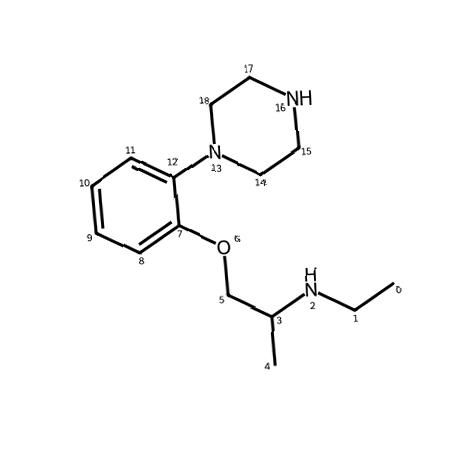 CCNC(C)COc1ccccc1N1CCNCC1